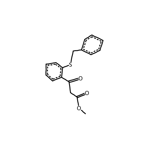 COC(=O)CC(=O)c1ccccc1SCc1ccccc1